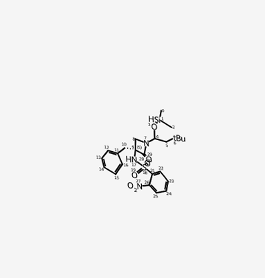 C[SiH](C)OC(CC(C)(C)C)N1C[C@](Cc2ccccc2)(NS(=O)(=O)c2ccccc2[N+](=O)[O-])C1=O